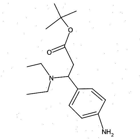 CCN(CC)C(CC(=O)OC(C)(C)C)c1ccc(N)cc1